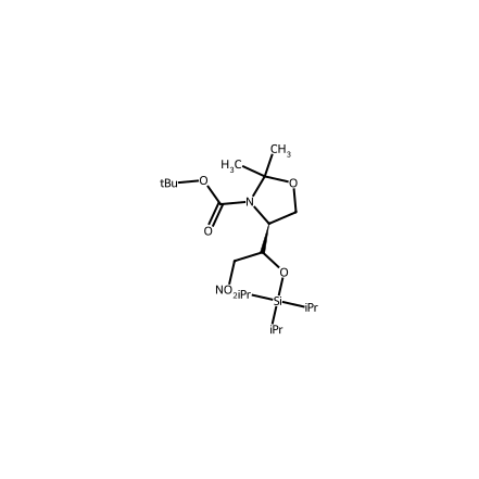 CC(C)[Si](OC(C[N+](=O)[O-])[C@@H]1COC(C)(C)N1C(=O)OC(C)(C)C)(C(C)C)C(C)C